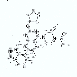 C=CC(=O)N1C[C@H](C)N(c2nc(OC3CCOC3)nc3c(C)c(-c4c(C)ccc5cnn(C)c45)c(C)cc23)C[C@H]1C